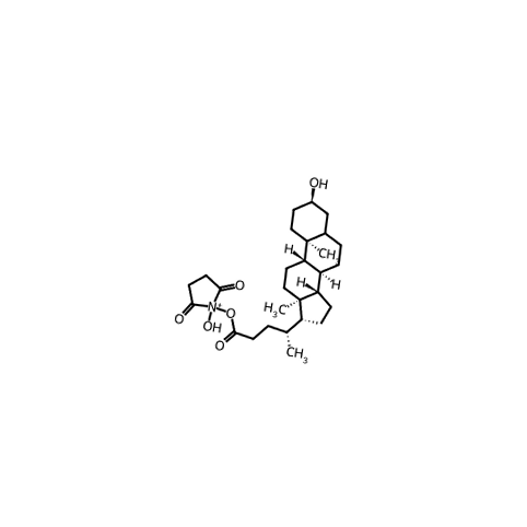 C[C@H](CCC(=O)O[N+]1(O)C(=O)CCC1=O)[C@H]1CC[C@H]2[C@@H]3CCC4C[C@H](O)CC[C@]4(C)[C@H]3CC[C@]12C